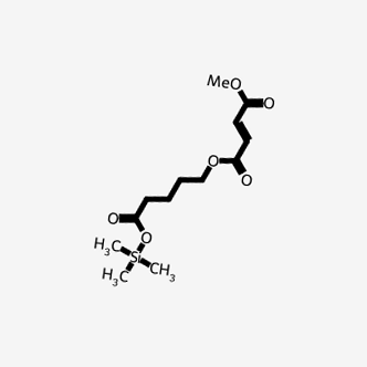 COC(=O)C=CC(=O)OCCCCC(=O)O[Si](C)(C)C